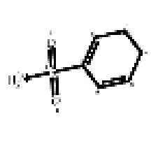 NS(=O)(=O)C1=C[CH]CC=C1